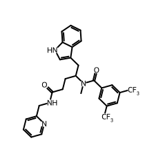 CN(C(=O)c1cc(C(F)(F)F)cc(C(F)(F)F)c1)C(CCC(=O)NCc1ccccn1)Cc1c[nH]c2ccccc12